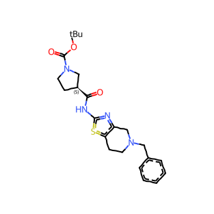 CC(C)(C)OC(=O)N1CC[C@H](C(=O)Nc2nc3c(s2)CCN(Cc2ccccc2)C3)C1